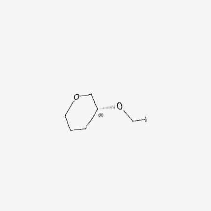 ICO[C@@H]1CCCOC1